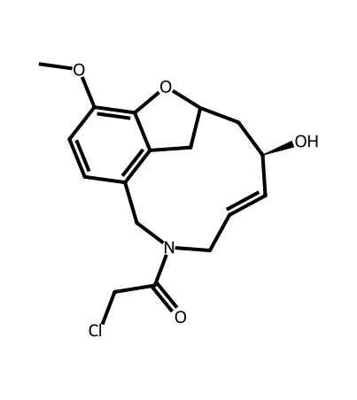 COc1ccc2c3c1OC(C3)C[C@@H](O)/C=C/CN(C(=O)CCl)C2